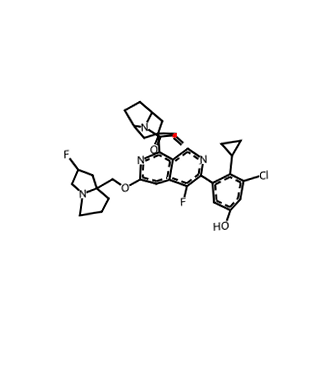 C=CC(=O)N1C2CCC1CC(C)(c1nc(OCC34CCCN3CC(F)C4)cc3c(F)c(-c4cc(O)cc(Cl)c4C4CC4)ncc13)C2